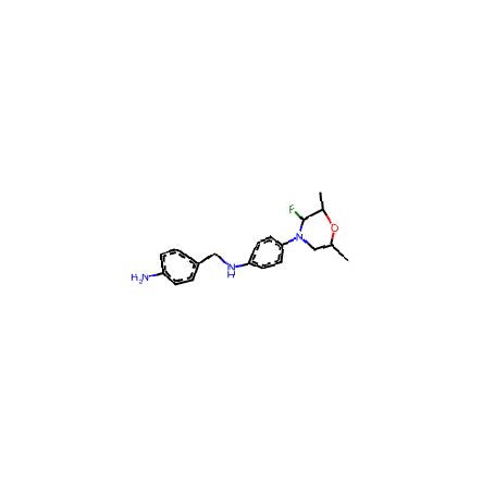 CC1CN(c2ccc(NCc3ccc(N)cc3)cc2)C(F)C(C)O1